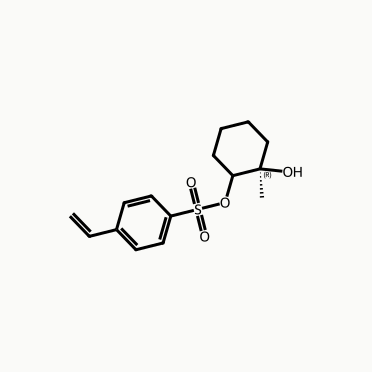 C=Cc1ccc(S(=O)(=O)OC2CCCC[C@@]2(C)O)cc1